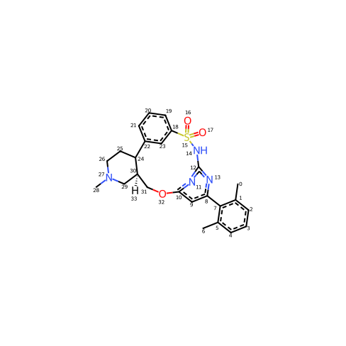 Cc1cccc(C)c1-c1cc2nc(n1)NS(=O)(=O)c1cccc(c1)C1CCN(C)C[C@@H]1CO2